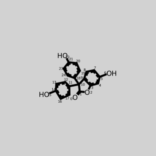 O=C1Oc2cc(O)ccc2C1(c1ccc(O)cc1)c1ccc(O)cc1